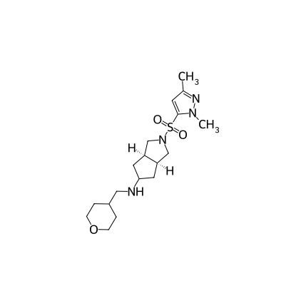 Cc1cc(S(=O)(=O)N2C[C@H]3CC(NCC4CCOCC4)C[C@H]3C2)n(C)n1